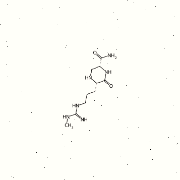 CNC(=N)NCCC[C@@H]1NC[C@H](C(N)=O)NC1=O